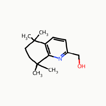 CC1(C)CCC(C)(C)c2nc(CO)ccc21